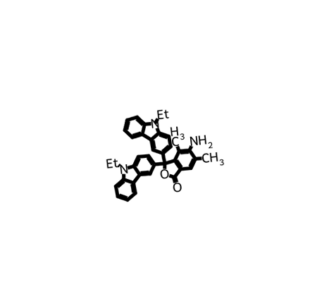 CCn1c2ccccc2c2cc(C3(c4ccc5c(c4)c4ccccc4n5CC)OC(=O)c4cc(C)c(N)c(C)c43)ccc21